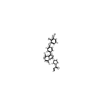 C=CC(=O)N1CC[C@@H](c2nc(-c3ccc(Oc4cccc(OC)c4F)cc3)c3c(C)ncc(C)n23)C1